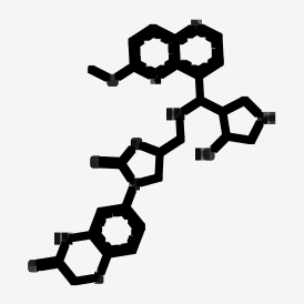 COc1ccc2nccc(C(NCC3CN(c4ccc5c(c4)NC(=O)CS5)C(=O)O3)C3CNCC3O)c2n1